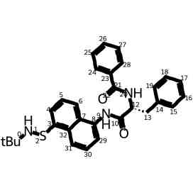 CC(C)(C)NSc1cccc2c(NC(=O)[C@@H](Cc3ccccc3)NC(=O)c3ccccc3)cccc12